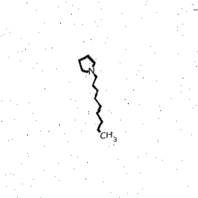 CCCCCCCCCN1CCCC1